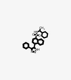 CC(NS(=O)(=O)c1ccc(-c2[nH]nnc2-c2ccccc2)c2ccccc12)C1CCCCC1